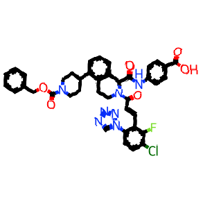 O=C(O)c1ccc(NC(=O)C2c3cccc(C4CCN(C(=O)OCc5ccccc5)CC4)c3CCN2C(=O)C=Cc2c(-n3cnnn3)ccc(Cl)c2F)cc1